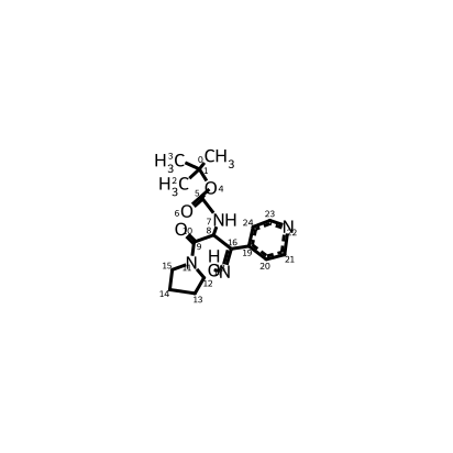 CC(C)(C)OC(=O)NC(C(=O)N1CCCC1)/C(=N\O)c1ccncc1